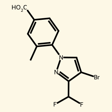 Cc1cc(C(=O)O)ccc1-n1cc(Br)c(C(F)F)n1